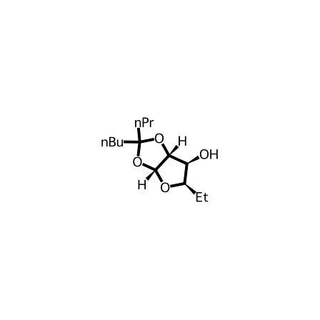 CCCCC1(CCC)O[C@H]2O[C@H](CC)[C@H](O)[C@H]2O1